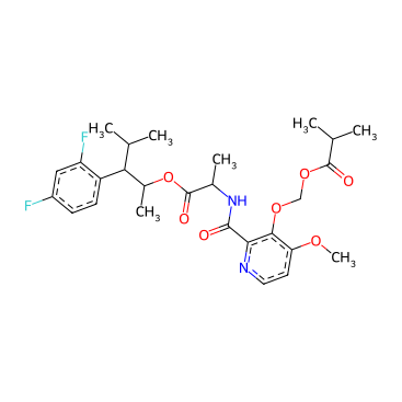 COc1ccnc(C(=O)NC(C)C(=O)OC(C)C(c2ccc(F)cc2F)C(C)C)c1OCOC(=O)C(C)C